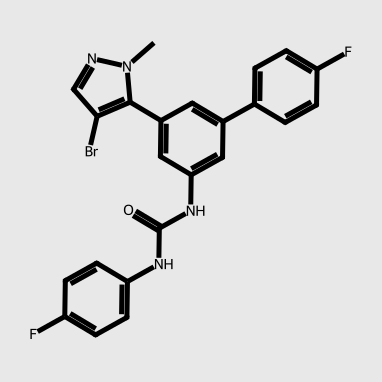 Cn1ncc(Br)c1-c1cc(NC(=O)Nc2ccc(F)cc2)cc(-c2ccc(F)cc2)c1